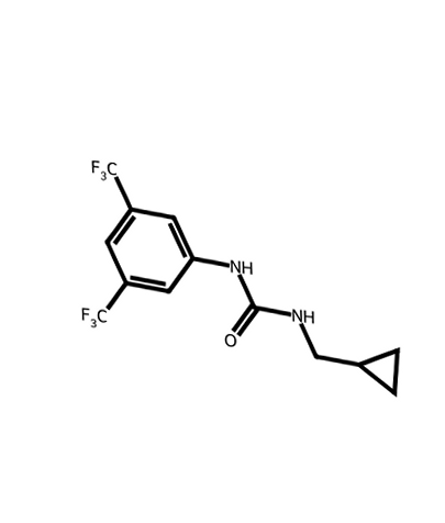 O=C(NCC1CC1)Nc1cc(C(F)(F)F)cc(C(F)(F)F)c1